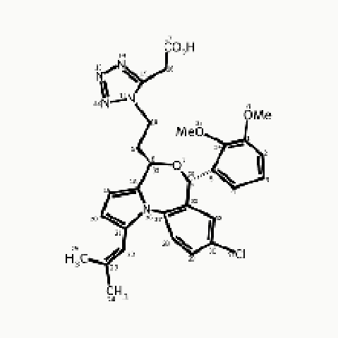 COc1cccc([C@H]2O[C@H](CCn3nnnc3CC(=O)O)c3ccc(C=C(C)C)n3-c3ccc(Cl)cc32)c1OC